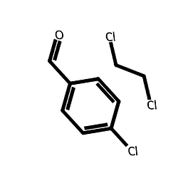 ClCCCl.O=Cc1ccc(Cl)cc1